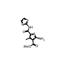 COC(=O)c1c(N)sc(C(=O)Nc2nccs2)c1C